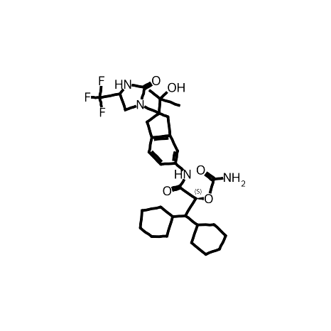 CC(C)(O)C1(N2CC(C(F)(F)F)NC2=O)Cc2ccc(NC(=O)[C@@H](OC(N)=O)C(C3CCCCC3)C3CCCCC3)cc2C1